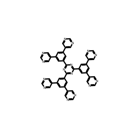 c1ncc(-c2cc(-c3cncnc3)cc(-c3nc(-c4cc(-c5cncnc5)cc(-c5cncnc5)c4)nc(-c4cc(-c5cncnc5)cc(-c5cncnc5)c4)n3)c2)cn1